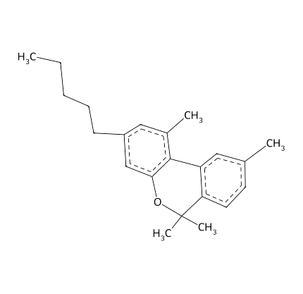 CCCCCc1cc(C)c2c(c1)OC(C)(C)c1ccc(C)cc1-2